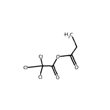 [CH2]CC(=O)OC(=O)C(Cl)(Cl)Cl